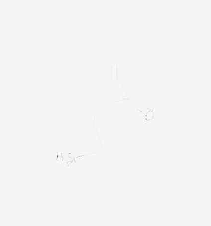 C=C(Cl)CC[SiH3]